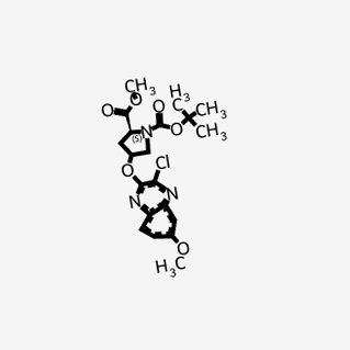 COC(=O)[C@@H]1CC(Oc2nc3ccc(OC)cc3nc2Cl)CN1C(=O)OC(C)(C)C